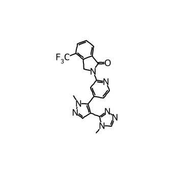 Cn1cnnc1-c1cnn(C)c1-c1ccnc(N2Cc3c(cccc3C(F)(F)F)C2=O)c1